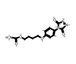 NC(=O)OCCCCOc1ccc(N2C(=O)N=NC2=O)cc1